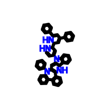 C1=CC(N2C3=CC4=C(NC3c3ccccc32)c2ccccc2-c2ccccc2N4c2ccccc2)=CC(C2C=C(c3ccccc3)C=C(c3ccccc3)N2)N1